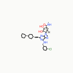 CNC(=O)[C@@]12C[C@@H]1[C@@H](n1cnc3c(NCc4cccc(Cl)c4)nc(C#Cc4ccc(-c5ccccc5)cc4)nc31)[C@H](O)[C@@H]2O